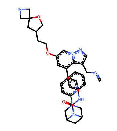 C=NCc1cnn2cc(OCCC3COC4(CNC4)C3)cc(-c3ccc(N4CC5CC(C4)N5C(=O)Nc4ccccc4)nc3)c12